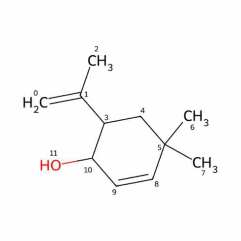 C=C(C)C1CC(C)(C)C=CC1O